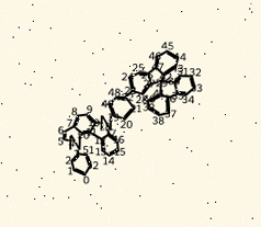 c1ccc(-n2ccc3ccc4c(c5ccccc5n4-c4ccc(-c5ccc6c(c5)C5(c7ccccc7-c7ccccc75)c5ccccc5-6)cc4)c32)cc1